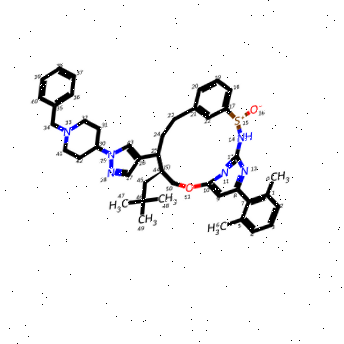 Cc1cccc(C)c1-c1cc2nc(n1)N[S+]([O-])c1cccc(c1)CCC(c1cnn(C3CCN(Cc4ccccc4)CC3)c1)[C@H](CC(C)(C)C)CO2